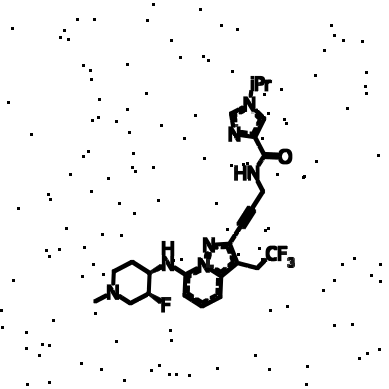 CC(C)n1cnc(C(=O)NCC#Cc2nn3c(N[C@@H]4CCN(C)C[C@@H]4F)cccc3c2CC(F)(F)F)c1